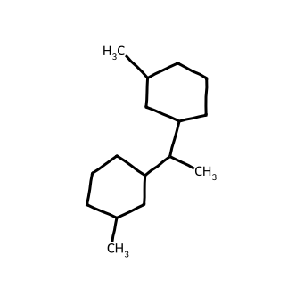 CC1CCCC(C(C)C2CCCC(C)C2)C1